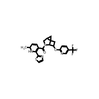 CC1C=CC(C(=O)N2CC3CC34CC(Oc3ccc(C(F)(F)F)cn3)C24)=C(c2nccs2)N1